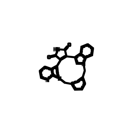 O=C1NC(=O)C2=C1c1cn(c3ccccc13)Cc1cccc(c1)Cn1cc2c2cccnc21